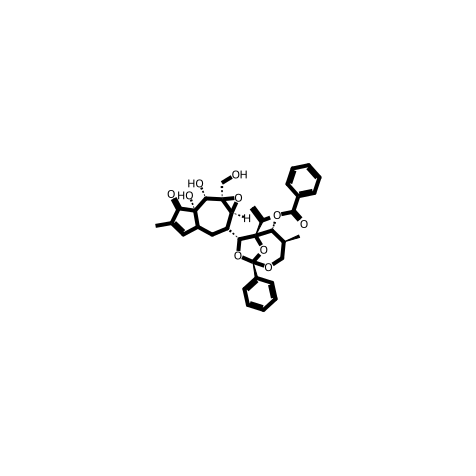 C=C(C)[C@]12O[C@](c3ccccc3)(OC[C@H](C)[C@H]1OC(=O)c1ccccc1)O[C@@H]2C1CC2C=C(C)C(=O)[C@@]2(O)[C@H](O)[C@@]2(CO)O[C@@H]12